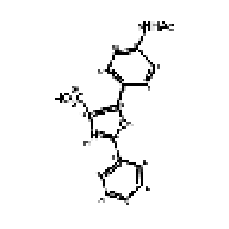 CC(=O)Nc1ccc(-c2oc(-c3ccccc3)nc2C(=O)O)cc1